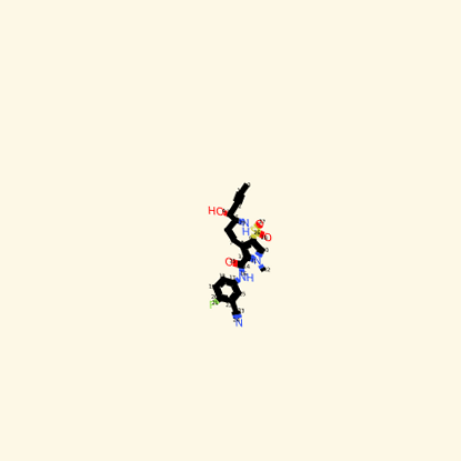 CC#CC(O)C1C=Cc2c(cn(C)c2C(=O)Nc2ccc(F)c(C#N)c2)S(=O)(=O)N1